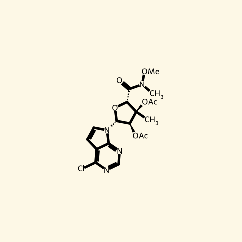 CON(C)C(=O)[C@H]1O[C@@H](n2ccc3c(Cl)ncnc32)[C@H](OC(C)=O)[C@]1(C)OC(C)=O